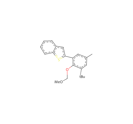 COCOc1c(-c2cc3ccccc3s2)cc(C)cc1C(C)(C)C